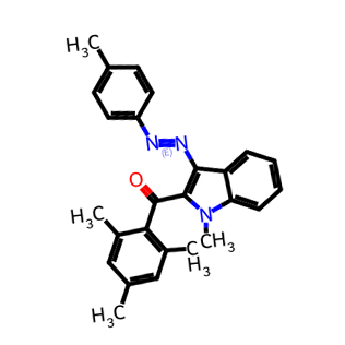 Cc1ccc(/N=N/c2c(C(=O)c3c(C)cc(C)cc3C)n(C)c3ccccc23)cc1